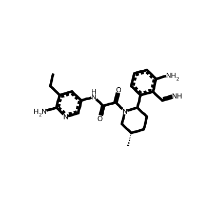 CCc1cc(NC(=O)C(=O)N2C[C@@H](C)CCC2c2cccc(N)c2C=N)cnc1N